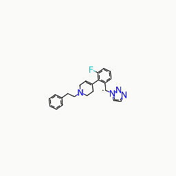 Fc1cccc([CH]n2ccnn2)c1C1=CCN(CCc2ccccc2)CC1